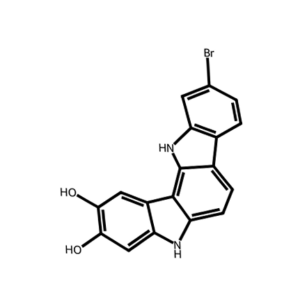 Oc1cc2[nH]c3ccc4c5ccc(Br)cc5[nH]c4c3c2cc1O